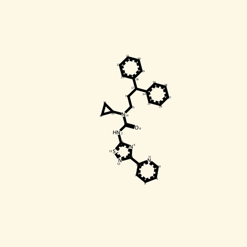 O=C(Nc1nc(-c2ccccn2)ns1)N(CCC(c1ccccc1)c1ccccc1)C1CC1